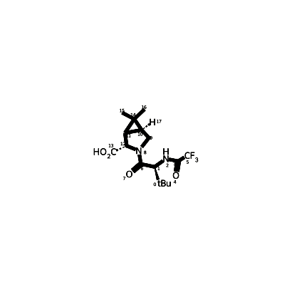 CC(C)(C)[C@H](NC(=O)C(F)(F)F)C(=O)N1C[C@H]2C([C@H]1C(=O)O)C2(C)C